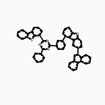 c1ccc(-c2nc(-c3cccc(-c4cccc5sc6ccc(-c7cc8ccccc8c8ccccc78)cc6c45)c3)nc(-c3cccc4c3sc3ccccc34)n2)cc1